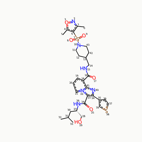 Cc1noc(C)c1S(=O)(=O)N1CCC(CNC(=O)c2cccn3c(C(=O)N[C@H](CO)CC(C)C)c(-c4ccsc4)nc23)CC1